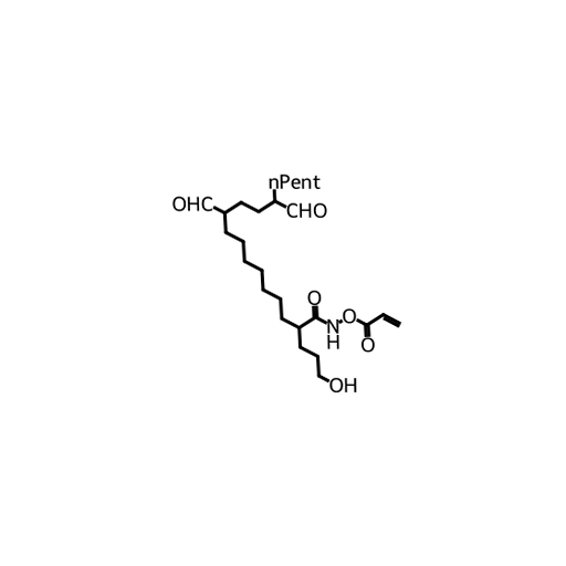 C=CC(=O)ONC(=O)C(CCCO)CCCCCCCC(C=O)CCC(C=O)CCCCC